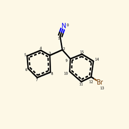 N#CC(c1ccccc1)c1ccc(Br)cc1